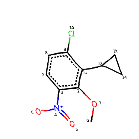 COc1c([N+](=O)[O-])ccc(Cl)c1C1CC1